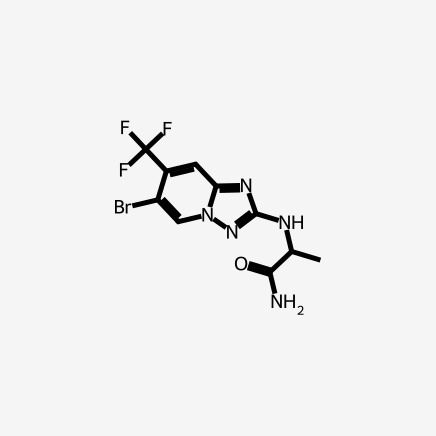 CC(Nc1nc2cc(C(F)(F)F)c(Br)cn2n1)C(N)=O